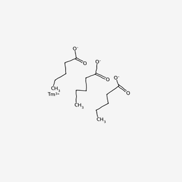 CCCCC(=O)[O-].CCCCC(=O)[O-].CCCCC(=O)[O-].[Tm+3]